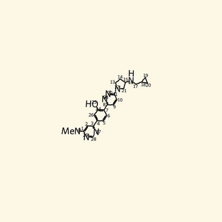 CNc1cc(-c2ccc(-c3ccc(N4CCC(NCC5CC5)C4)nn3)c(O)c2)ncn1